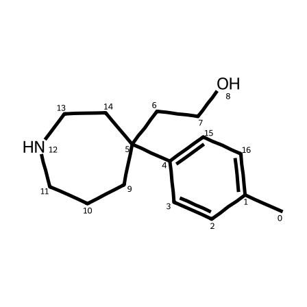 Cc1ccc(C2(CCO)CCCNCC2)cc1